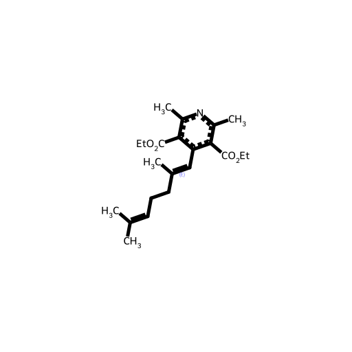 CCOC(=O)c1c(C)nc(C)c(C(=O)OCC)c1/C=C(\C)CCC=C(C)C